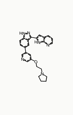 c1cnc2[nH]c(-c3n[nH]c4ccc(-c5cncc(OCCN6CCCC6)c5)cc34)cc2c1